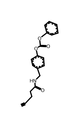 C#CCCC(=O)NCc1ccc(OC(=O)Oc2ccccc2)cc1